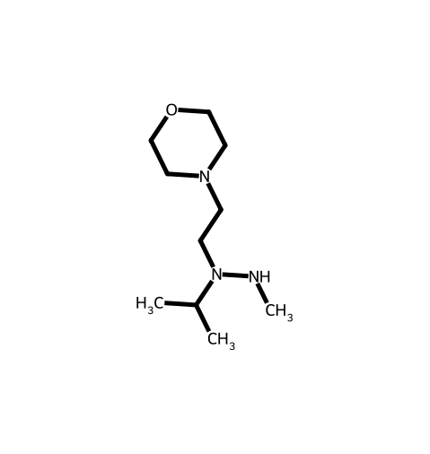 CNN(CCN1CCOCC1)C(C)C